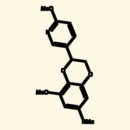 CNc1cc(OC)c2c(c1)OCC(c1ccc(OC)nc1)O2